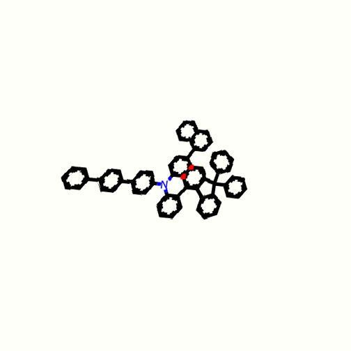 c1ccc(-c2ccc(-c3ccc(N(c4ccc(-c5cccc6ccccc56)cc4)c4ccccc4-c4cccc5c4-c4ccccc4C5(c4ccccc4)c4ccccc4)cc3)cc2)cc1